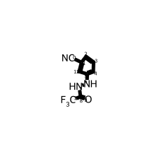 N#Cc1cccc(NNC(=O)C(F)(F)F)c1